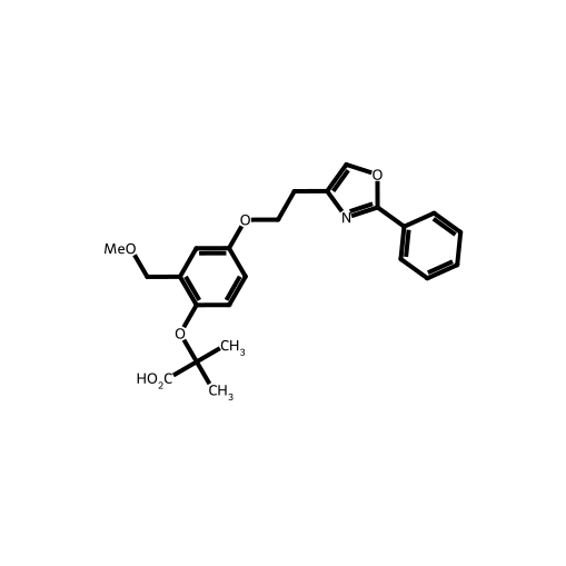 COCc1cc(OCCc2coc(-c3ccccc3)n2)ccc1OC(C)(C)C(=O)O